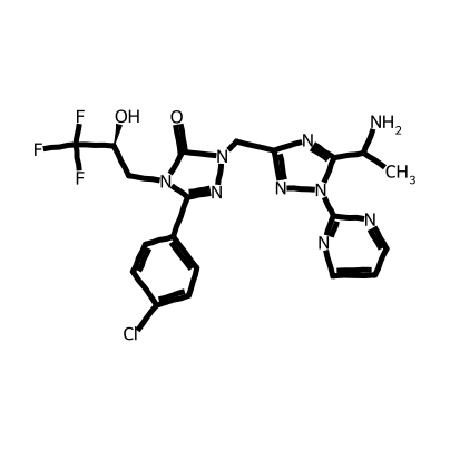 CC(N)c1nc(Cn2nc(-c3ccc(Cl)cc3)n(C[C@H](O)C(F)(F)F)c2=O)nn1-c1ncccn1